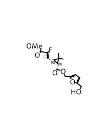 COC(=O)/C(F)=C/[C@H]1[C@@H](C(=O)OCc2ccc(CO)o2)C1(C)C